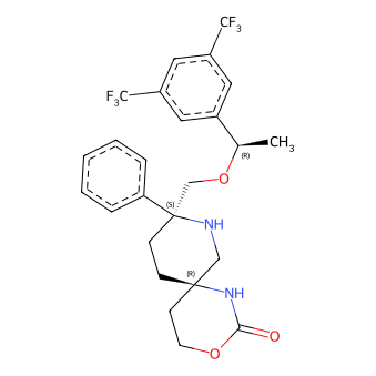 C[C@@H](OC[C@@]1(c2ccccc2)CC[C@@]2(CCOC(=O)N2)CN1)c1cc(C(F)(F)F)cc(C(F)(F)F)c1